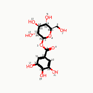 O=C(O[C@@H]1O[C@H](CO)[C@@H](O)[C@H](O)[C@H]1O)c1cc(O)c(O)c(O)c1